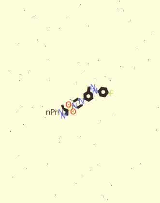 CCCn1ncc(S(=O)(=O)N2CCN(c3ccc4c(cnn4-c4ccc(F)cc4)c3)C[C@H]2C)c1C